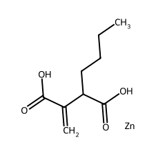 C=C(C(=O)O)C(CCCC)C(=O)O.[Zn]